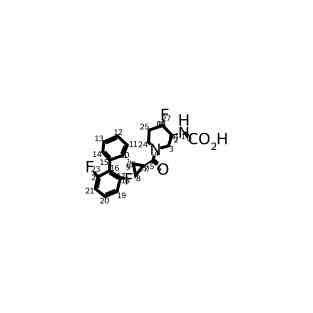 O=C(O)N[C@@H]1CN(C(=O)[C@H]2C[C@@H]2c2ccccc2-c2c(F)cccc2F)CC[C@@H]1F